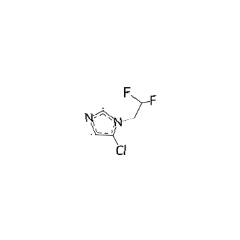 FC(F)Cn1[c]n[c]c1Cl